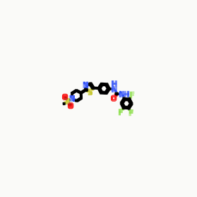 CS(=O)(=O)N1CCC(c2ncc(-c3ccc(NC(=O)Nc4cc(F)c(F)cc4F)cc3)s2)CC1